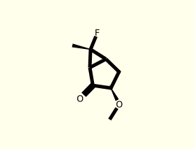 CO[C@@H]1CC2C(C1=O)[C@]2(C)F